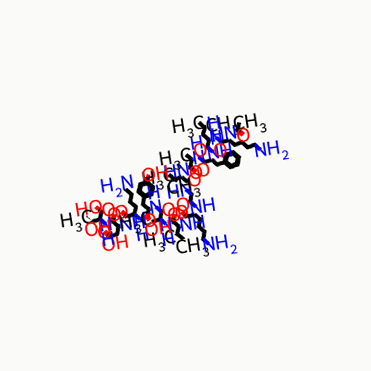 CC[C@H](C)C(NC(=O)C(CCCCN)NC(=O)CNC(=O)C(NC(=O)C(C)NC(=O)C(Cc1ccccc1)NC(=O)C(CC(C)C)NC(=O)C(CCCCN)NC(C)=O)C(C)C)C(=O)NC(C(=O)NC(Cc1ccc(O)cc1)C(=O)NC(CCCCN)C(=O)NC(CC(=O)O)C(=O)NC(C(=O)O)[C@@H](C)O)[C@@H](C)O